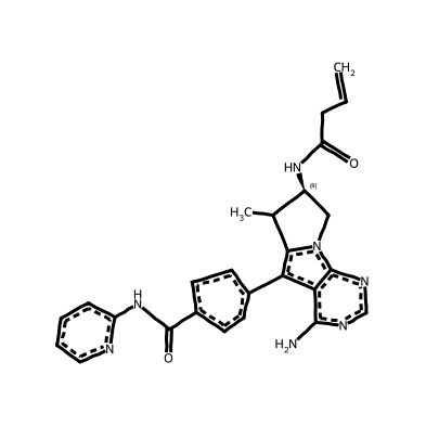 C=CCC(=O)N[C@H]1Cn2c(c(-c3ccc(C(=O)Nc4ccccn4)cc3)c3c(N)ncnc32)C1C